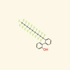 Oc1ccccc1-c1ccccc1C(F)(F)C(F)(F)C(F)(F)C(F)(F)C(F)(F)C(F)(F)C(F)(F)C(F)(F)C(F)(F)F